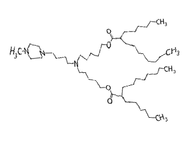 CCCCCCCCC(CCCCCC)C(=O)OCCCCCN(CCCCCOC(=O)C(CCCCCC)CCCCCCCC)CCCCN1CCN(C)CC1